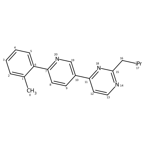 Cc1ccccc1-c1ccc(-c2ccnc(CC(C)C)n2)cn1